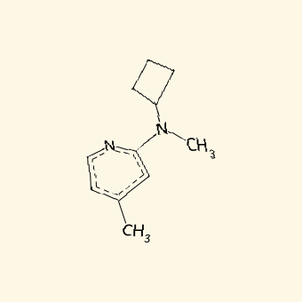 Cc1ccnc(N(C)C2CCC2)c1